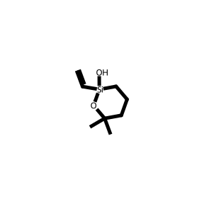 C=C[Si]1(O)CCCC(C)(C)O1